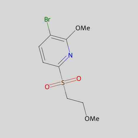 COCCS(=O)(=O)c1ccc(Br)c(OC)n1